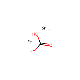 O=C(O)O.[Fe].[SrH2]